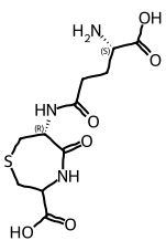 N[C@@H](CCC(=O)N[C@H]1CSCC(C(=O)O)NC1=O)C(=O)O